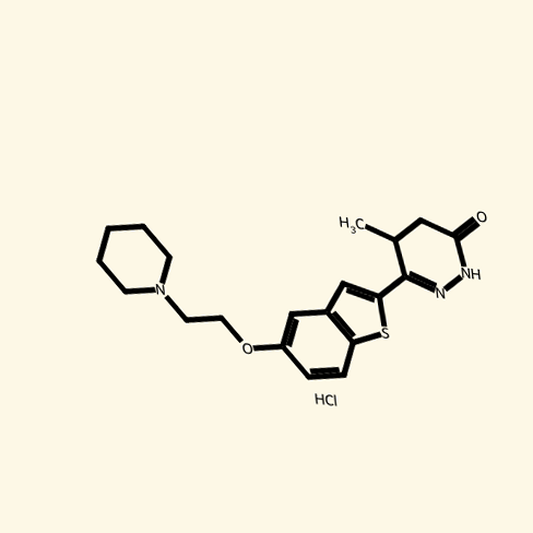 CC1CC(=O)NN=C1c1cc2cc(OCCN3CCCCC3)ccc2s1.Cl